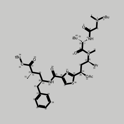 CCCCN(C)CC(=O)N[C@H](C(=O)N(C)[C@H](C[C@@H](OC(C)=O)c1nc(C(=O)N[C@@H](Cc2ccccc2)C[C@H](C)C(=O)OC(C)(C)C)cs1)C(C)C)[C@@H](C)CC